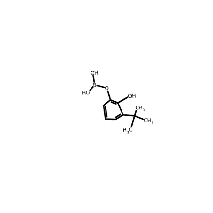 CC(C)(C)c1cccc(OB(O)O)c1O